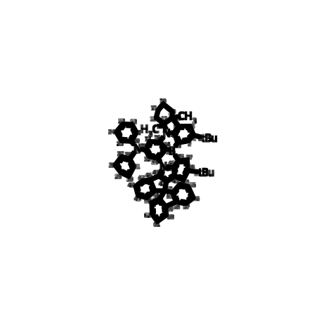 CC(C)(C)c1cc2c3c(c1)C1(C)CCCCC1(C)N3c1cc(N(c3ccccc3)c3ccccc3)cc3c1B2c1cc(C(C)(C)C)cc2c4c(n-3c12)-c1ccccc1C41c2ccccc2-c2ccccc21